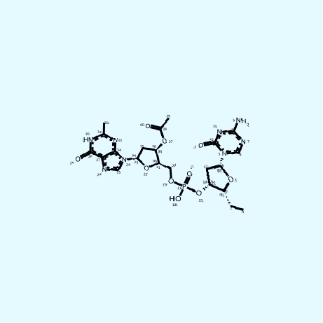 CC[C@H]1O[C@@H](n2cnc(N)nc2=O)C[C@H]1OP(=O)(O)OC[C@H]1O[C@@H](n2cnc3c(=O)[nH]c(C)nc32)C[C@H]1OC(C)=O